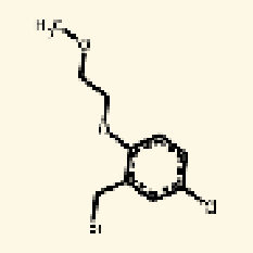 COCCOc1ccc(Cl)cc1CBr